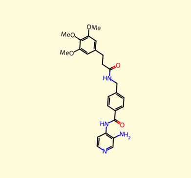 COc1cc(CCC(=O)NCc2ccc(C(=O)Nc3ccncc3N)cc2)cc(OC)c1OC